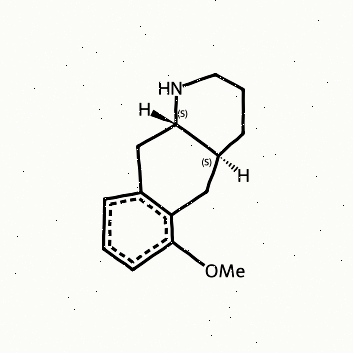 COc1cccc2c1C[C@@H]1CCCN[C@H]1C2